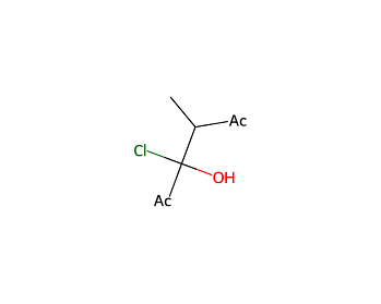 CC(=O)C(C)C(O)(Cl)C(C)=O